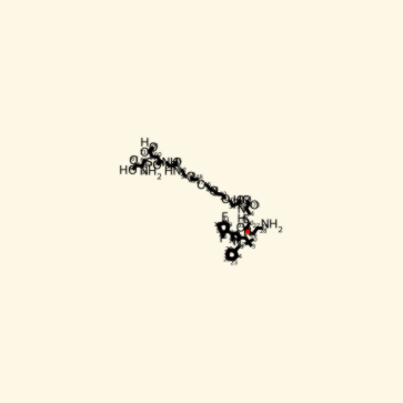 CC(C)(C)[C@H](c1cc(-c2cc(F)ccc2F)cn1Cc1ccccc1)N(CCCN)C(=O)CSCC(NC(=O)CCOCCOCCOCCOCCNC(=O)CNC(=O)CC(SC[C@H](N)C(=O)O)C(=O)O)C(=O)O